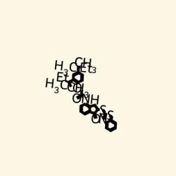 CCC(C)(C)c1ccc(OCC(=O)Nc2cccc3c2CC(Sc2nc4ccccc4s2)C3=O)c(C(C)(C)CC)c1